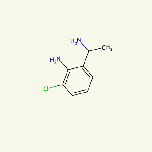 CC(N)c1cccc(Cl)c1N